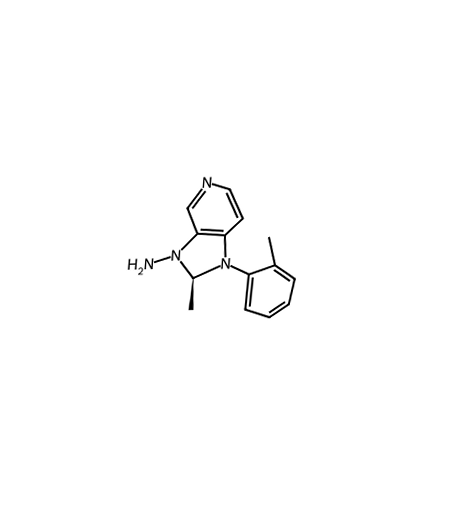 Cc1ccccc1N1c2ccncc2N(N)[C@@H]1C